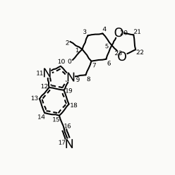 CC1(C)CCC2(CC1Cn1cnc3ccc(C#N)cc31)OCCO2